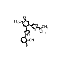 CN(C)c1ncc(-c2cc(=O)n(C)cc2-c2cnn(-c3cccc(F)c3C#N)c2)cn1